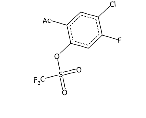 CC(=O)c1cc(Cl)c(F)cc1OS(=O)(=O)C(F)(F)F